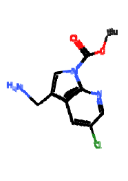 CC(C)(C)OC(=O)n1cc(CN)c2cc(Cl)cnc21